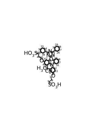 CC1(C)c2cc(OCCCS(=O)(=O)O)ccc2N(c2ccccc2Oc2nc(-c3ccccc3)nc(-c3ccccc3)n2)c2ccc(OCCCS(=O)(=O)O)cc21